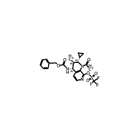 CC(=O)N1c2c(ccnc2OS(=O)(=O)C(F)(F)F)[C@H](NC(=O)OCc2ccccc2)[C@@H](C)[C@@H]1C1CC1